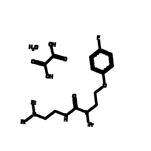 CCN(CC)CCNC(=O)N(CCOc1ccc(F)cc1)C(C)C.O.O=C(O)C(=O)O